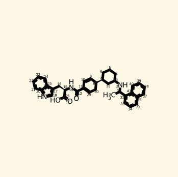 CC(NC1CCC[C@H](C2C=CC(C(=O)N[C@H](Cc3c[nH]c4ccccc34)C(=O)O)=CC2)C1)c1cccc2ccccc12